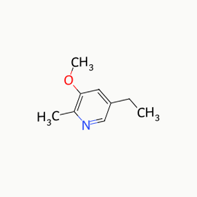 CCc1cnc(C)c(OC)c1